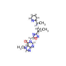 C/C(=C\[C@@H]1[C@H](C)[C@H]1c1noc(Cn2cnc3ncn(C)c3c2=O)n1)c1ccccn1